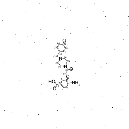 Nc1ccc(C(=O)O)cc1OCC(=O)N1CCN(Cc2ccc(Cl)cc2)CC1